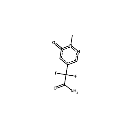 Cn1ncc(C(F)(F)C(N)=O)cc1=O